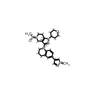 Cn1cc(-c2ccc3c(c2)CCCN3c2nn(C3CCOCC3)c3c2CN([S+](C)[O-])CC3)cn1